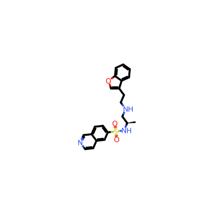 C[C@H](CNCCc1coc2ccccc12)NS(=O)(=O)c1ccc2cnccc2c1